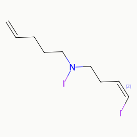 C=CCCCN(I)CC/C=C\I